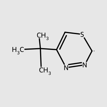 CC(C)(C)C1=CS[CH]N=N1